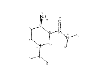 CC(C)N1CC[C@@H](N)C(C(=O)N(C)C)C1